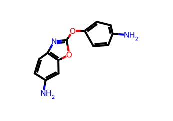 Nc1ccc(Oc2nc3ccc(N)cc3o2)cc1